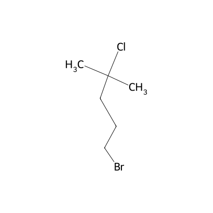 CC(C)(Cl)CCCBr